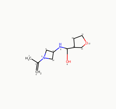 C=C(C)N1CC(NC(O)C2CCOC2)C1